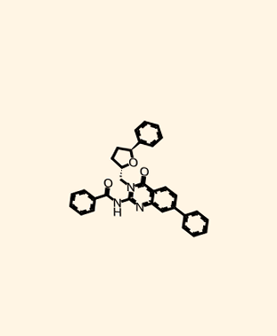 O=C(Nc1nc2cc(-c3ccccc3)ccc2c(=O)n1C[C@@H]1CC[C@@H](c2ccccc2)O1)c1ccccc1